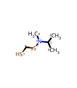 CC(C)N(C)SCS